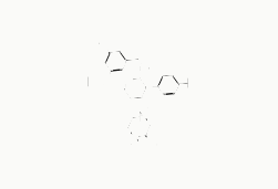 C[C@@H](O[C@H]1OCC[C@@H](CN2CCN(C)C(=O)C2)[C@@H]1c1ccc(F)cc1)c1cc(C(F)(F)F)cc(C(F)(F)F)c1